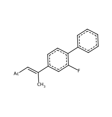 CC(=O)/C=C(\C)c1ccc(-c2ccccc2)c(F)c1